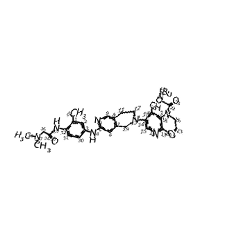 Cc1cc(Nc2cc3c(cn2)CCN(c2cnc4c(c2C)N(C(=O)OC(C)(C)C)CCO4)C3)ccc1NC(=O)CN(C)C